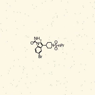 CCCS(=O)(=O)N1CCC(c2cn(C(N)=O)c3ccc(Br)cc23)CC1